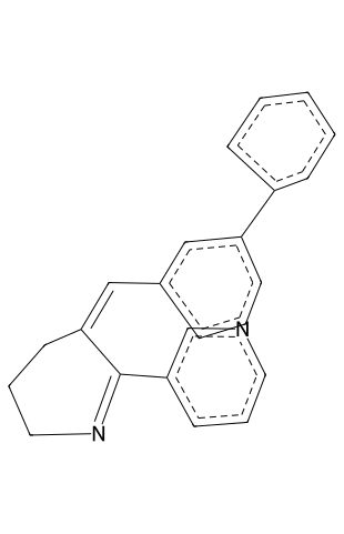 C(=C1\CCCN=C1c1cccnc1)/c1cccc(-c2ccccc2)c1